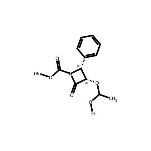 CCOC(C)O[C@@H]1C(=O)N(C(=O)OC(C)(C)C)[C@@H]1c1ccccc1